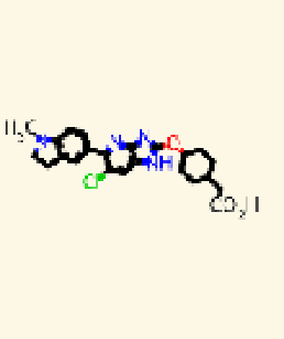 CN1CCc2cc(-c3nc4nc(OC5CCC(CC(=O)O)CC5)[nH]c4cc3Cl)ccc21